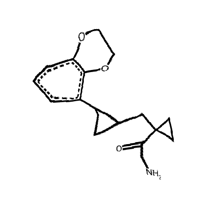 NC(=O)C1(CC2CC2c2cccc3c2OCCO3)CC1